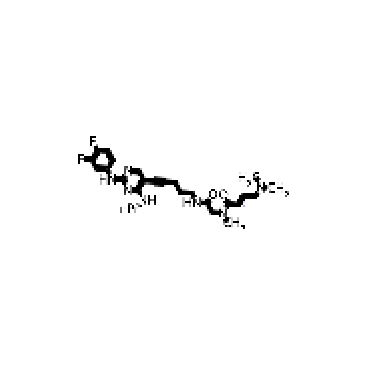 CCCNc1nc(Nc2ccc(F)c(F)c2)ncc1C#CCCCNC(=O)CN(C)C(=O)/C=C/CN(C)C